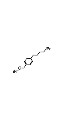 CC(C)CCCCc1ccc(COC(C)C)cc1